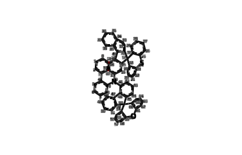 c1ccc(-c2ccccc2N(c2ccc3c(c2)C2(c4ccccc4Sc4ccccc42)c2ccc4ccccc4c2-3)c2cccc3c2-c2ccccc2C32c3ccccc3Oc3ccccc32)cc1